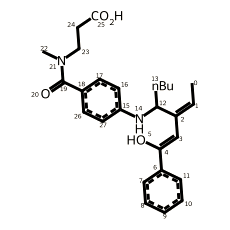 C/C=C(/C=C(\O)c1ccccc1)C(CCCC)Nc1ccc(C(=O)N(C)CCC(=O)O)cc1